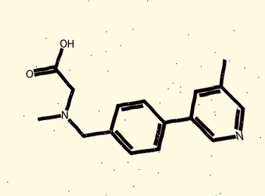 Cc1cncc(-c2ccc(CN(C)CC(=O)O)cc2)c1